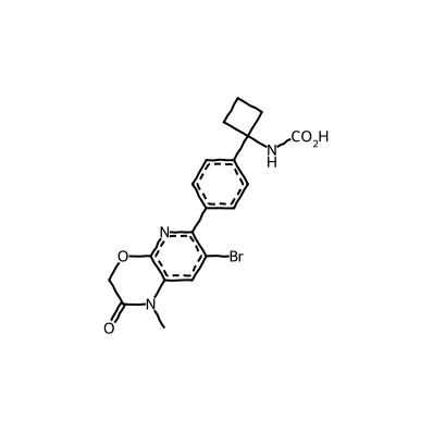 CN1C(=O)COc2nc(-c3ccc(C4(NC(=O)O)CCC4)cc3)c(Br)cc21